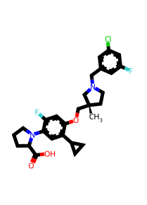 C[C@]1(COc2cc(F)c(N3CCCC3C(=O)O)cc2C2CC2)CCN(Cc2cc(F)cc(Cl)c2)C1